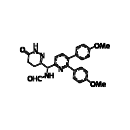 COc1ccc(-c2ccc(C(NC=O)C3=NNC(=O)CC3)nc2-c2ccc(OC)cc2)cc1